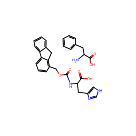 NC(Cc1ccccc1)C(=O)O.O=C(NC(Cc1c[nH]cn1)C(=O)O)OCc1cccc2c1Cc1ccccc1-2